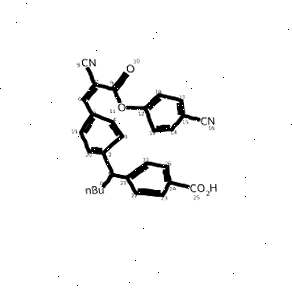 CCCCC(c1ccc(C=C(C#N)C(=O)Oc2ccc(C#N)cc2)cc1)c1ccc(C(=O)O)cc1